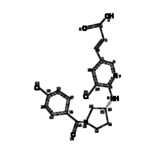 O=C(O)C=Cc1cnc(N[C@@H]2CCN(C(=O)c3ccc(Cl)cc3)C2)c(Cl)c1